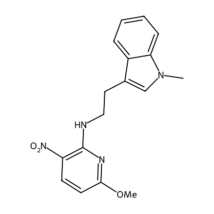 COc1ccc([N+](=O)[O-])c(NCCc2cn(C)c3ccccc23)n1